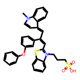 CN1C=C/C(=C\C(=C\c2sc3ccccc3[n+]2CCCS(=O)(=O)O)c2cccc(Oc3ccccc3)c2)c2ccccc21